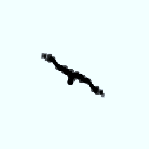 C=CC(=O)OCCCCCCOc1ccc(C(=O)OC2CCC(C(=O)Oc3ccc(OC(=O)C4CCC(OC(=O)c5ccc(OCCCCCCOC(=O)C=C)cc5)CC4)c4sc(-c5ccccc5)nc34)CC2)cc1